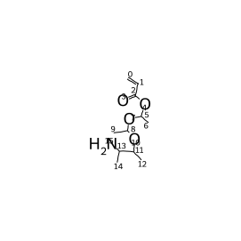 C=CC(=O)OC(C)OC(C)OC(C)C(C)N